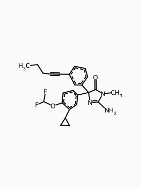 CCCC#Cc1cccc(C2(c3ccc(OC(F)F)c(C4CC4)c3)N=C(N)N(C)C2=O)c1